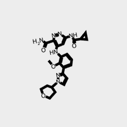 COc1c(Nc2cc(NC(=O)C3CC3)nnc2C(N)=O)cccc1-c1ccn(C2CCOCC2)n1